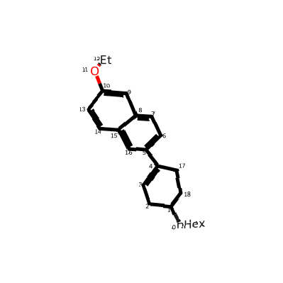 CCCCCCC1CC=C(c2ccc3cc(OCC)ccc3c2)CC1